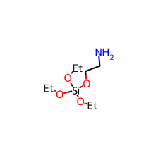 CCO[Si](OCC)(OCC)OCCN